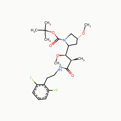 CO[C@@H]1CC([C@H](OC)[C@@H](C)C(=O)NCCc2c(F)cccc2F)N(C(=O)OC(C)(C)C)C1